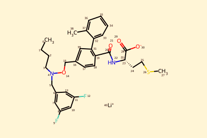 CCCCN(Cc1cc(F)cc(F)c1)OCc1ccc(C(=O)N[C@@H](CCSC)C(=O)[O-])c(-c2ccccc2C)c1.[Li+]